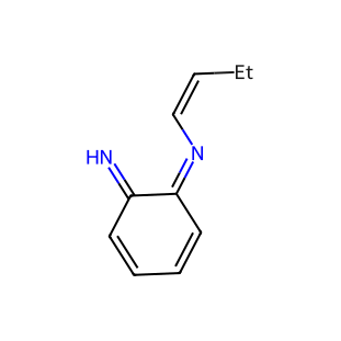 CC/C=C\N=C1\C=CC=CC1=N